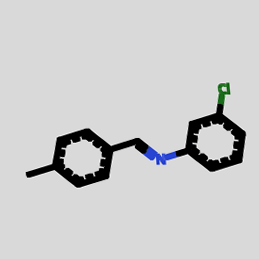 Cc1ccc(C=Nc2cccc(Cl)c2)cc1